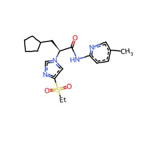 CCS(=O)(=O)c1cn([C@@H](CC2CCCC2)C(=O)Nc2ccc(C)cn2)cn1